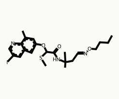 CCCCON=CCC(C)(C)NC(=O)C(Oc1cc(C)c2ncc(I)cc2c1)SC